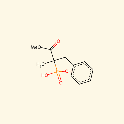 COC(=O)C(C)(Cc1ccccc1)P(=O)(O)O